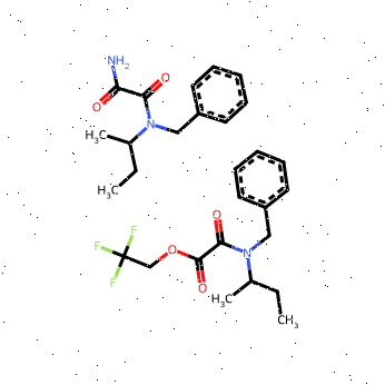 CCC(C)N(Cc1ccccc1)C(=O)C(=O)OCC(F)(F)F.CCC(C)N(Cc1ccccc1)C(=O)C(N)=O